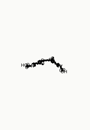 COc1cc(/C=C/c2cc[n+](CCCS(=O)(=O)O)cc2)ccc1OCCCCCOc1ccc(/C=C/c2cc[n+](CCCS(=O)(=O)O)cc2)cc1OC